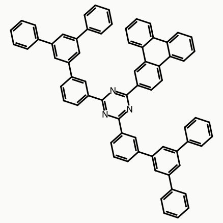 c1ccc(-c2cc(-c3ccccc3)cc(-c3cccc(-c4nc(-c5cccc(-c6cc(-c7ccccc7)cc(-c7ccccc7)c6)c5)nc(-c5ccc6c7ccccc7c7ccccc7c6c5)n4)c3)c2)cc1